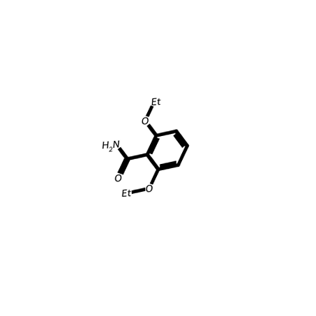 CCOc1cccc(OCC)c1C(N)=O